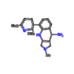 CCCN1CC2=C(C1)C(N)c1cccc(-c3ccc(OC)nc3OC)c1N2